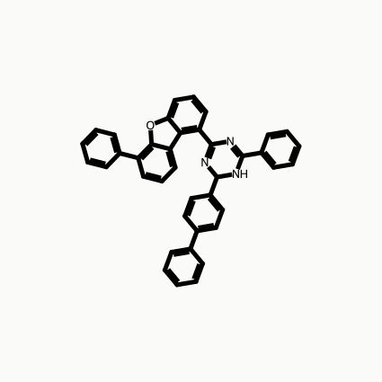 c1ccc(C2=NC(c3cccc4oc5c(-c6ccccc6)cccc5c34)=NC(c3ccc(-c4ccccc4)cc3)N2)cc1